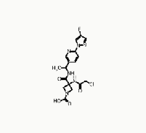 CC(NC(=O)C1(NC(=O)CCl)CN(C(=O)O)C1)c1ccc(-n2cc(F)cn2)nc1